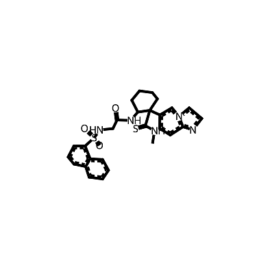 CNC(=S)C1(c2ccc3nccn3c2)CCCCC1NC(=O)CNS(=O)(=O)c1cccc2ccccc12